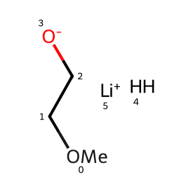 COCC[O-].[HH].[Li+]